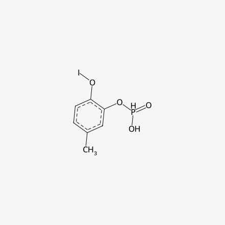 Cc1ccc(OI)c(O[PH](=O)O)c1